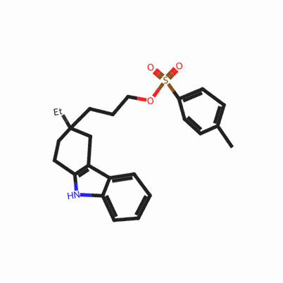 CCC1(CCCOS(=O)(=O)c2ccc(C)cc2)CCc2[nH]c3ccccc3c2C1